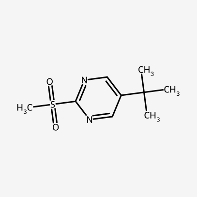 CC(C)(C)c1cnc(S(C)(=O)=O)nc1